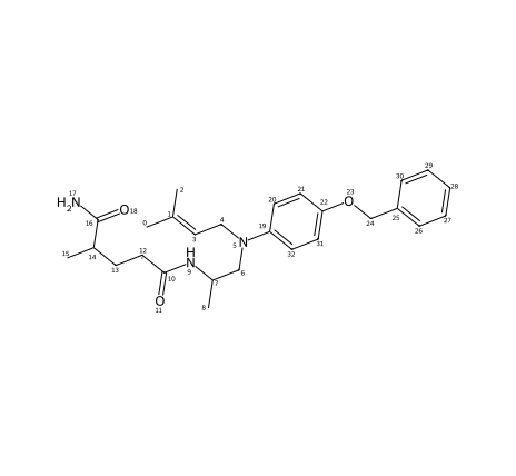 CC(C)=CCN(CC(C)NC(=O)[CH]CC(C)C(N)=O)c1ccc(OCc2ccccc2)cc1